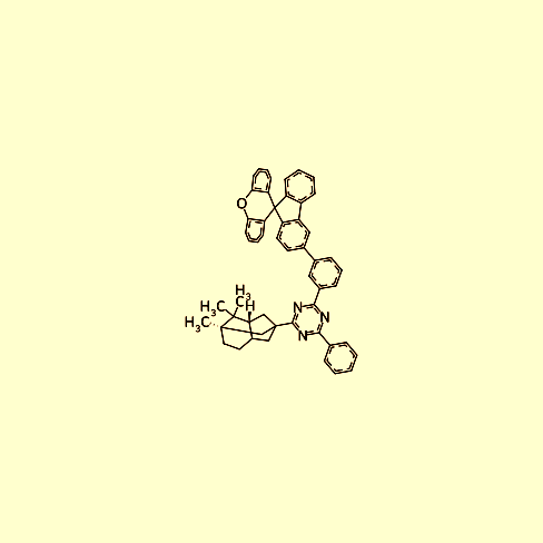 CC1(C)[C@@H]2CC3(c4nc(-c5ccccc5)nc(-c5cccc(-c6ccc7c(c6)-c6ccccc6C76c7ccccc7Oc7ccccc76)c5)n4)CC2CC[C@]1(C)C3